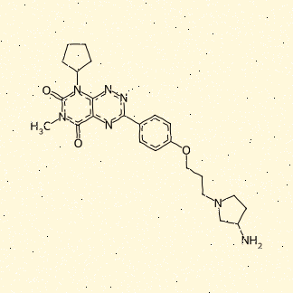 Cn1c(=O)c2nc(-c3ccc(OCCCN4CCC(N)C4)cc3)nnc2n(C2CCCC2)c1=O